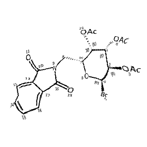 CC(=O)O[C@@H]1[C@@H](OC(C)=O)[C@@H](Br)O[C@H](CN2C(=O)c3ccccc3C2=O)[C@@H]1OC(C)=O